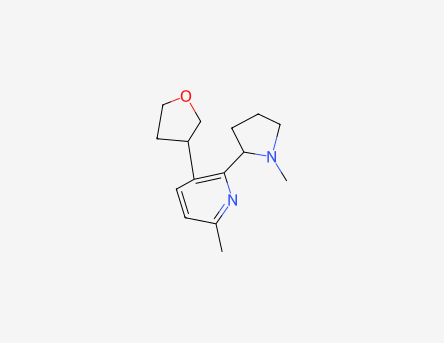 Cc1ccc(C2CCOC2)c(C2CCCN2C)n1